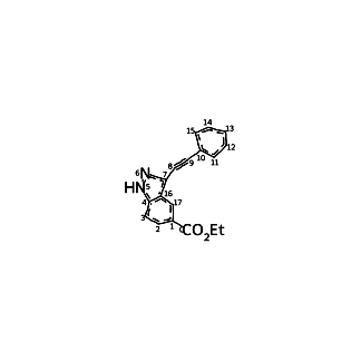 CCOC(=O)c1ccc2[nH]nc(C#Cc3ccccc3)c2c1